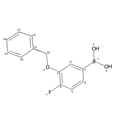 OB(O)c1ccc(F)c(OCc2ccccc2)c1